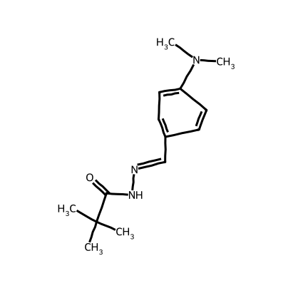 CN(C)c1ccc(C=NNC(=O)C(C)(C)C)cc1